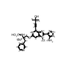 CCn1c(-c2nonc2N)nc2c(C#CC(C)(C)O)nc(OC[C@@](Cc3cccnc3)(NC(=O)O)C(C)(C)C)cc21